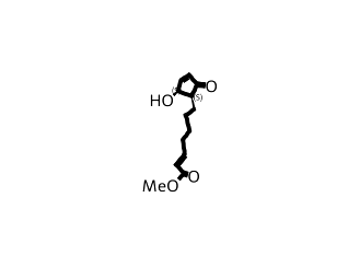 COC(=O)C=CCCCC[C@@H]1C(=O)C=C[C@@H]1O